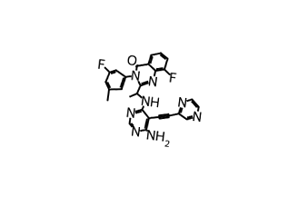 Cc1cc(F)cc(-n2c(C(C)Nc3ncnc(N)c3C#Cc3cnccn3)nc3c(F)cccc3c2=O)c1